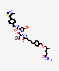 Cc1ncsc1-c1ccc([C@H](C)NC(=O)[C@@H]2C[C@@H](O)CN2C(=O)[C@@H](NC(=O)CCCCc2ccc(COC[C@@H](C)CCC(N)=O)cc2)C(C)(C)C)cc1